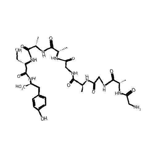 C[C@H](NC(=O)CN)C(=O)NCC(=O)N[C@@H](C)C(=O)NCC(=O)N[C@@H](C)C(=O)N[C@@H](C)C(=O)N[C@@H](CO)C(=O)N[C@@H](Cc1ccc(O)cc1)C(=O)O